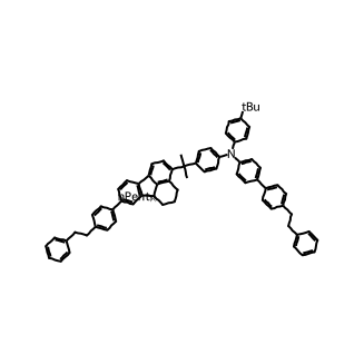 CCCCC[C@]12CCCc3c(C(C)(C)c4ccc(N(c5ccc(-c6ccc(CCc7ccccc7)cc6)cc5)c5ccc(C(C)(C)C)cc5)cc4)ccc(c31)-c1ccc(-c3ccc(CCc4ccccc4)cc3)cc12